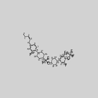 CC/C=C\Cc1ccc(C2CCC(C(F)(F)OC3CCC(c4cc(F)c(OC(F)(F)F)c(F)c4)CC3)CC2)c(F)c1